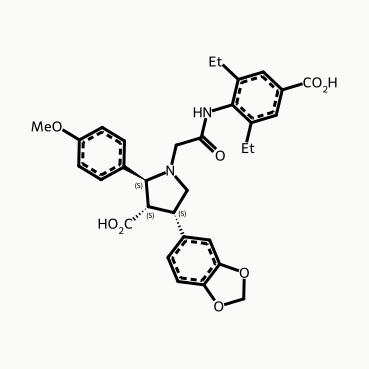 CCc1cc(C(=O)O)cc(CC)c1NC(=O)CN1C[C@H](c2ccc3c(c2)OCO3)[C@H](C(=O)O)[C@H]1c1ccc(OC)cc1